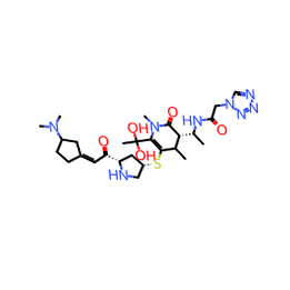 CC(NC(=O)Cn1cnnn1)[C@H]1C(=O)N(C)C(C(C)(O)O)=C(S[C@@H]2CN[C@H](C(=O)/C=C3/CCC(N(C)C)C3)C2)C1C